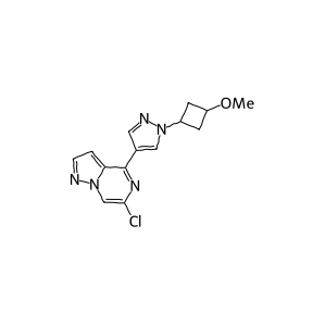 COC1CC(n2cc(-c3nc(Cl)cn4nccc34)cn2)C1